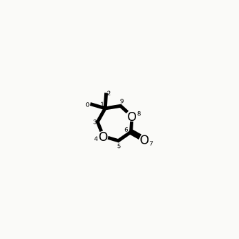 CC1(C)COCC(=O)OC1